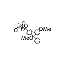 COc1ccc(C(OC)(c2ccccc2)c2ccc(C(=O)ON3C(=O)CCC3=O)cc2)cc1